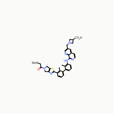 CNCC(=O)N1Cc2nc(-c3cccc(-c4cccc(Nc5nccc6cc(CN7CC(C(=O)O)C7)cnc56)c4C)c3C)sc2C1